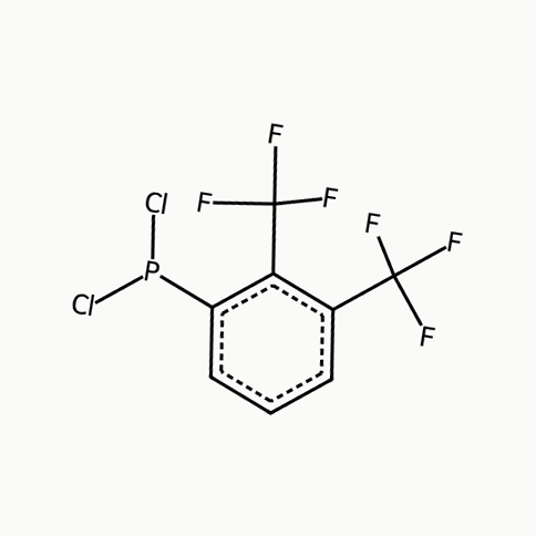 FC(F)(F)c1cccc(P(Cl)Cl)c1C(F)(F)F